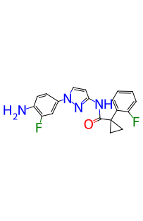 Nc1ccc(-n2ccc(NC(=O)C3(c4ccccc4F)CC3)n2)cc1F